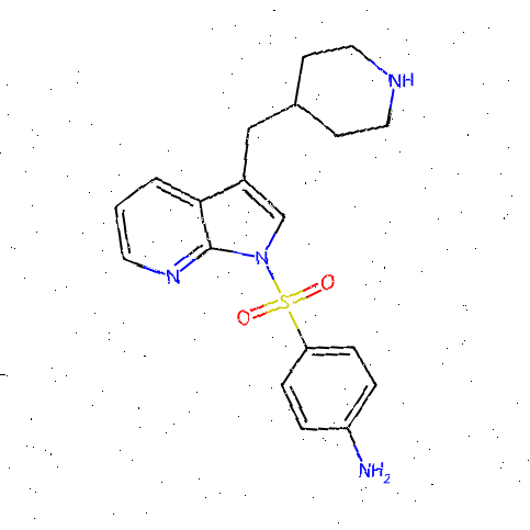 Nc1ccc(S(=O)(=O)n2cc(CC3CCNCC3)c3cccnc32)cc1